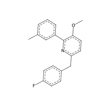 COc1ccc(Cc2ccc(F)cc2)nc1-c1cccc(C)c1